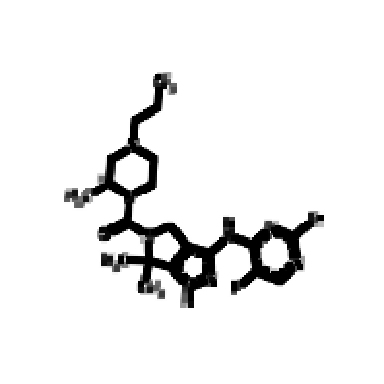 CCc1ncc(F)c(Nc2n[nH]c3c2CN(C(=O)N2CCN(CCC(F)(F)F)C[C@@H]2C)C3(C)C)n1